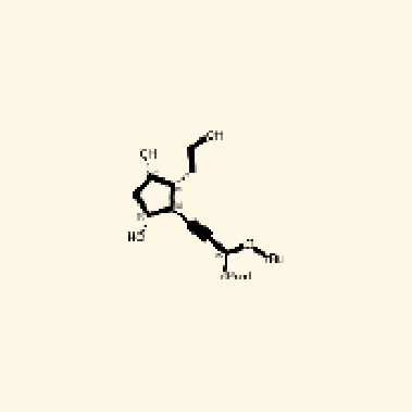 CCCCC[C@@H](C#C[C@@H]1[C@@H](CCO)[C@@H](O)C[C@H]1O)OC(C)(C)C